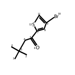 CC(C)(C)CC(=O)c1cc(Br)cs1